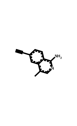 C#Cc1ccc2c(N)ncc(C)c2c1